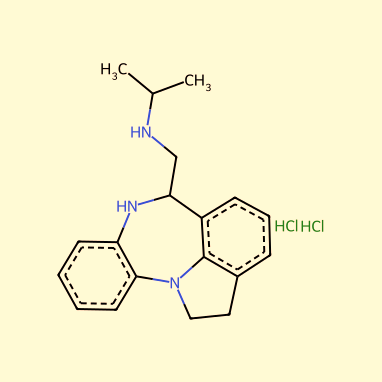 CC(C)NCC1Nc2ccccc2N2CCc3cccc1c32.Cl.Cl